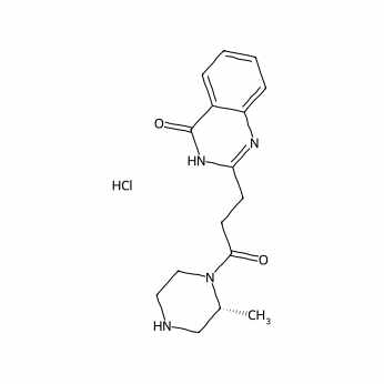 C[C@@H]1CNCCN1C(=O)CCc1nc2ccccc2c(=O)[nH]1.Cl